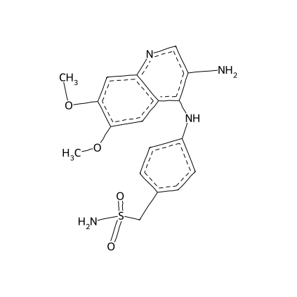 COc1cc2ncc(N)c(Nc3ccc(CS(N)(=O)=O)cc3)c2cc1OC